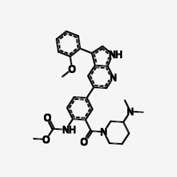 COC(=O)Nc1ccc(-c2cnc3[nH]cc(-c4ccccc4OC)c3c2)cc1C(=O)N1CCCC(N(C)C)C1